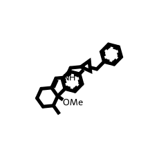 COC1(c2ccc(OCc3ccccc3)cc2)/C(=C\NCC2CC2)CCCC1C